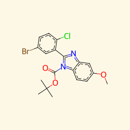 COc1ccc2c(c1)nc(-c1cc(Br)ccc1Cl)n2C(=O)OC(C)(C)C